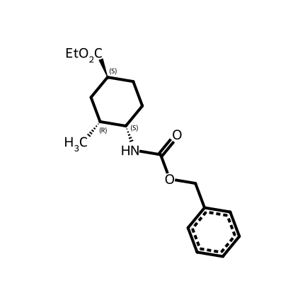 CCOC(=O)[C@H]1CC[C@H](NC(=O)OCc2ccccc2)[C@H](C)C1